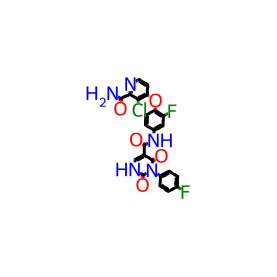 NC(=O)c1nccc(Oc2ccc(NC(=O)c3c[nH]c(=O)n(-c4ccc(F)cc4)c3=O)cc2F)c1Cl